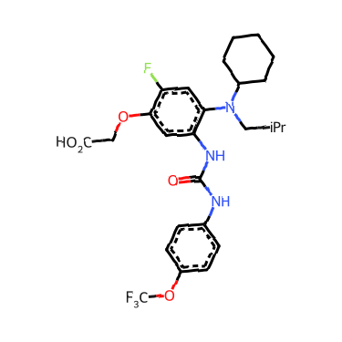 CC(C)CN(c1cc(F)c(OCC(=O)O)cc1NC(=O)Nc1ccc(OC(F)(F)F)cc1)C1CCCCC1